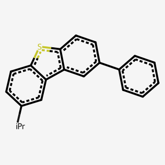 CC(C)c1ccc2sc3ccc(-c4ccccc4)cc3c2c1